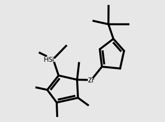 CC1=C(C)[C](C)([Zr][C]2=CC(C(C)(C)C)=CC2)C([SiH](C)C)=C1C